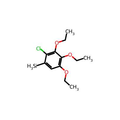 CCOc1cc([SiH3])c(Cl)c(OCC)c1OCC